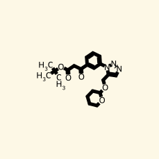 CC(C)(C)OC(=O)CC(=O)c1cccc(-n2nncc2COC2CCCCO2)c1